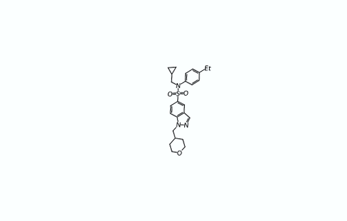 CCc1ccc(N(CC2CC2)S(=O)(=O)c2ccc3c(cnn3CC3CCOCC3)c2)cc1